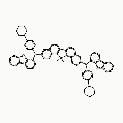 CC1(C)c2c(ccc3cc(N(c4ccc(C5CCCCC5)cc4)c4cccc5c4oc4ccccc45)ccc23)-c2ccc3cc(N(c4ccc(C5CCCCC5)cc4)c4cccc5c4oc4ccccc45)ccc3c21